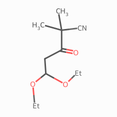 CCOC(CC(=O)C(C)(C)C#N)OCC